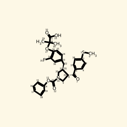 CSc1ccc(C(=O)[C@@H]2CN(C(=O)Oc3ccccc3)C[C@H]2Cc2ccc(OC(C)(C)C(=O)O)c(F)c2)cc1